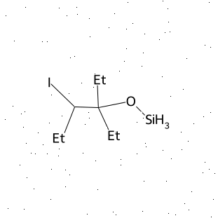 CCC(I)C(CC)(CC)O[SiH3]